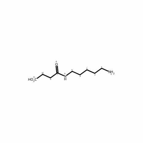 NCCCCCNC(=O)CCC(=O)O